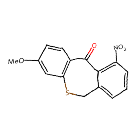 COc1ccc2c(c1)SCc1cccc([N+](=O)[O-])c1C2=O